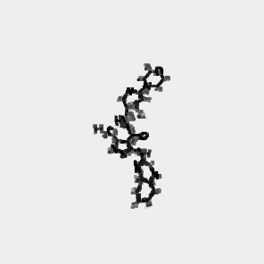 Cc1nsc(Nc2cnc3ccccc3n2)c1C(=O)Nc1ccc(N2CCOCC2)nc1